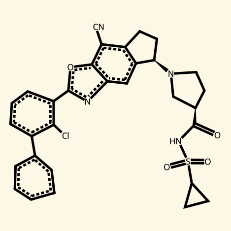 N#Cc1c2c(cc3nc(-c4cccc(-c5ccccc5)c4Cl)oc13)[C@H](N1CC[C@@H](C(=O)NS(=O)(=O)C3CC3)C1)CC2